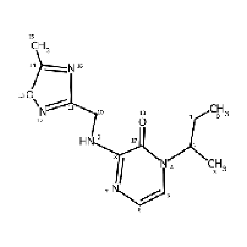 CCC(C)n1ccnc(NCc2noc(C)n2)c1=O